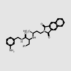 CC(C)CC(N[C@H](CCN1C(=O)c2cc3ccccc3cc2C1=O)C(=O)O)C(=O)NCc1cccc(N)c1